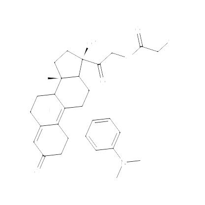 CC(=O)O[C@]1(C(=O)COC(=O)CCl)CC[C@H]2[C@@H]3CCC4=CC(=O)CCC4=C3[C@@H](c3ccc(N(C)C)cc3)C[C@@]21C